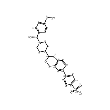 CC(C)Oc1ccc(C(=O)N2CCC(C3OCc4cc(-c5ccc(S(C)(=O)=O)cc5)ccc4O3)CC2)nc1